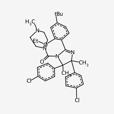 CCOc1cc(C(C)(C)C)ccc1C1=NC(C)(c2ccc(Cl)cc2)C(C)(c2ccc(Cl)cc2)N1C(=O)N1CCN(C)CC1